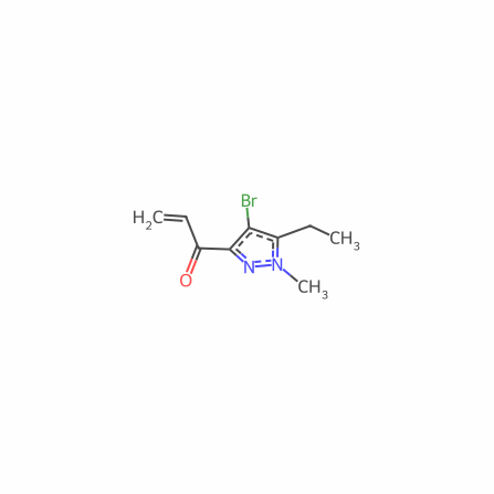 C=CC(=O)c1nn(C)c(CC)c1Br